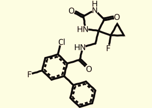 O=C1NC(=O)C(CNC(=O)c2c(Cl)cc(F)cc2-c2ccccc2)(C2(F)CC2)N1